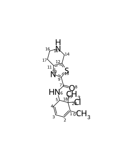 CC1=CC=CC(NC(=O)c2nc3c(s2)CNCC3)C1(C)Cl